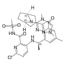 Cc1cc([C@@H](C)Nc2ccc(Cl)nc2C(=O)NS(C)(=O)=O)c2nc(N3[C@@H]4CC[C@H]3CC(c3ccn(C)n3)C4)n(C)c(=O)c2c1